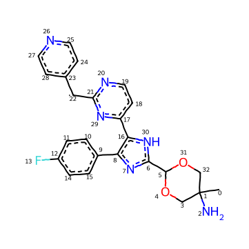 CC1(N)COC(c2nc(-c3ccc(F)cc3)c(-c3ccnc([CH]c4ccncc4)n3)[nH]2)OC1